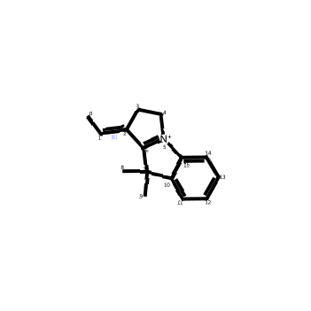 C/C=C1\CC[N+]2=C1C(C)(C)c1ccccc12